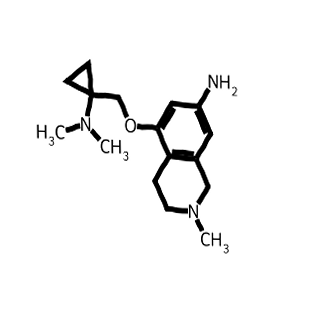 CN1CCc2c(cc(N)cc2OCC2(N(C)C)CC2)C1